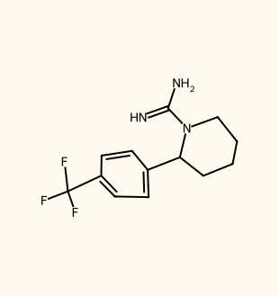 N=C(N)N1CCCCC1c1ccc(C(F)(F)F)cc1